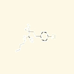 CCCCOC(=O)C1(CCc2ccc(Cl)cc2)CO1